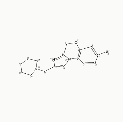 Brc1ccc2c(c1)OCc1nc(CN3CCCCC3)cn1-2